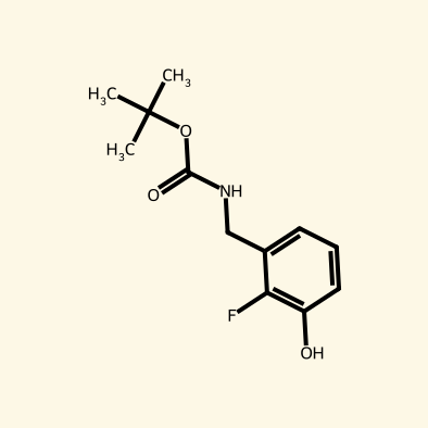 CC(C)(C)OC(=O)NCc1cccc(O)c1F